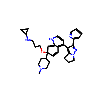 CN1CCC(C2(OCCCNC3CC3)C=CC3=C(c4c(-c5ccccn5)nn5c4CCC5)C=CNC3=C2)CC1